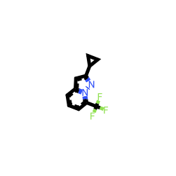 FC(F)(F)c1cccc2cc(C3CC3)nn12